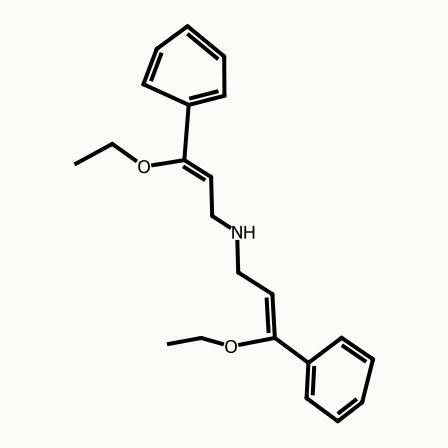 CCOC(=CCNCC=C(OCC)c1ccccc1)c1ccccc1